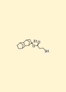 CC[C@@]1(OC(=O)CCS)CC2CC1C1C3CCC(C3)C21